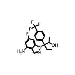 CCC(c1ccc(C(F)(F)F)cc1)(C(C)O)n1ncc2c(N)cc(F)cc21